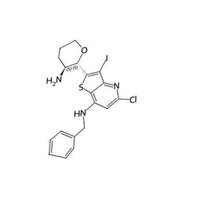 N[C@H]1CCCO[C@@H]1c1sc2c(NCc3ccccc3)cc(Cl)nc2c1I